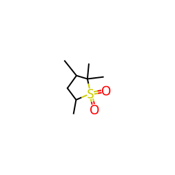 CC1CC(C)S(=O)(=O)C1(C)C